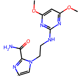 COc1cc(OC)nc(NCCn2c[c]nc2C(N)=O)n1